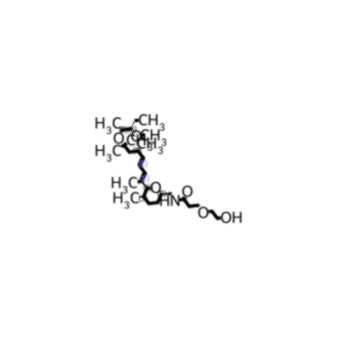 CC[C@H](OC)[C@@H](C)OC(C)(C)C[C@H](C)/C=C/C=C(\C)[C@H]1O[C@@H](CNC(=O)CCOCCO)CC[C@@H]1C